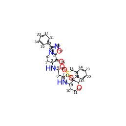 CCC(NC(=O)C[C@H](NC1CCOCC1)S(=O)(=O)Cc1ccccc1)C(=O)c1nc(-c2ccccc2)no1